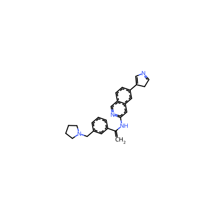 C=C(Nc1cc2cc(C3=CN=CC3)ccc2cn1)c1cccc(CN2CCCC2)c1